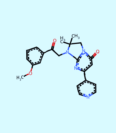 COc1cccc(C(=O)CN2c3nc(-c4ccncc4)cc(=O)n3CC2(C)C)c1